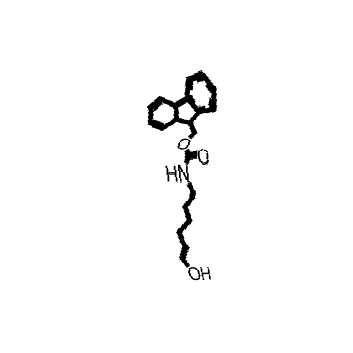 O=C(NCCCCCCO)OCC1c2ccccc2C2C=CC=CC21